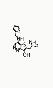 C[C@H](N)Cc1sc2c(NCc3cccs3)cnnc2c1O